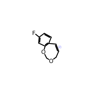 Fc1ccc2c(c1)OCOC/C=C\2